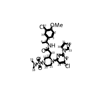 COc1ccc(C(C)NC(=O)CC2CN(S(=O)(=O)N(C)C)CCN2c2cc(Cl)nc(-n3ccnc3)n2)cc1Cl